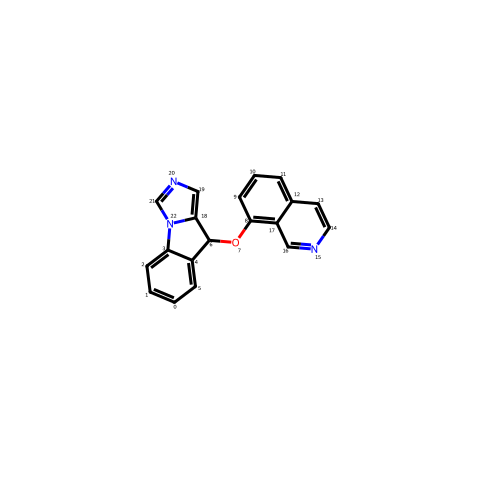 c1ccc2c(c1)C(Oc1cccc3ccncc13)c1cncn1-2